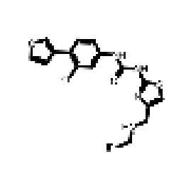 CC(C)CNCc1csc(NC(=O)Nc2ccc(-c3ccoc3)c(Cl)c2)n1